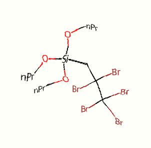 CCCO[Si](CC(Br)(Br)C(Br)(Br)Br)(OCCC)OCCC